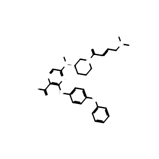 CN(C)C/C=C/C(=O)N1CCC[C@@H](N(C)c2cnc(C(N)=O)c(Nc3ccc(Oc4ccccc4)cc3)n2)C1